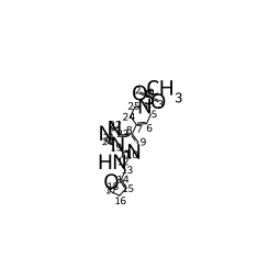 CS(=O)(=O)N1CC=C(c2cnc(NCC3=CCCO3)n3cnnc23)CC1